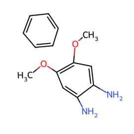 COc1cc(N)c(N)cc1OC.c1ccccc1